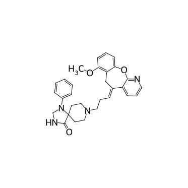 COc1cccc2c1CC(=CCCN1CCC3(CC1)C(=O)NCN3c1ccccc1)c1cccnc1O2